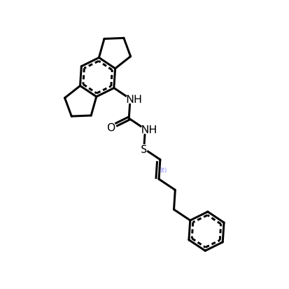 O=C(NS/C=C/CCc1ccccc1)Nc1c2c(cc3c1CCC3)CCC2